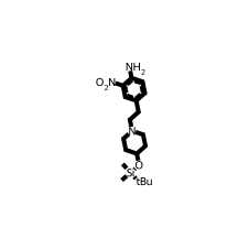 CC(C)(C)[Si](C)(C)OC1CCN(CCc2ccc(N)c([N+](=O)[O-])c2)CC1